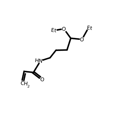 C=CC(=O)NCCCC(OCC)OCC